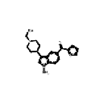 CC(C)(C)CN1CCC(c2cn(N)c3ccc(C(=O)c4cccs4)cc23)CC1